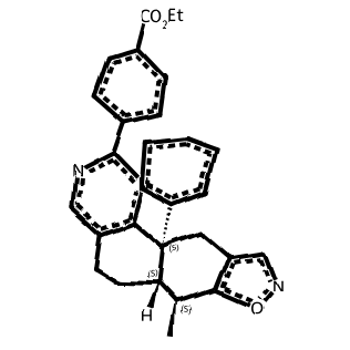 CCOC(=O)c1ccc(-c2ncc3c(n2)[C@@]2(c4ccccc4)Cc4cnoc4[C@@H](C)[C@@H]2CC3)cc1